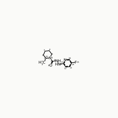 C[C@H]1CCCCN1C(=O)NNc1ccc(F)cn1